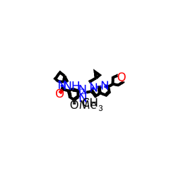 COc1cc(C(=O)N2CC3CCC2C3N)cc2nc(-c3cc4ccc(C5CCOCC5)nc4n3CC3CC3)n(C)c12